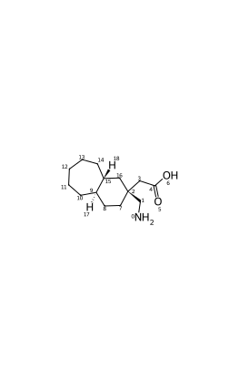 NC[C@@]1(CC(=O)O)CC[C@H]2CCCCC[C@@H]2C1